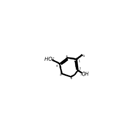 CC1=C(O)CCC(O)=C1